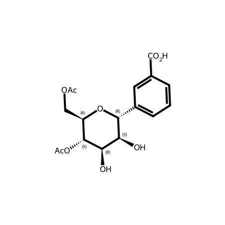 CC(=O)OC[C@H]1O[C@H](c2cccc(C(=O)O)c2)[C@@H](O)[C@@H](O)[C@@H]1OC(C)=O